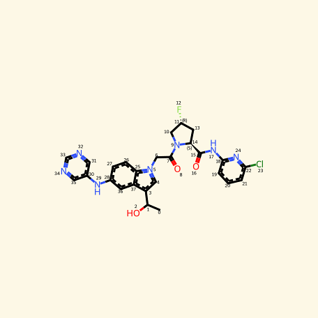 CC(O)c1cn(CC(=O)N2C[C@H](F)C[C@H]2C(=O)Nc2cccc(Cl)n2)c2ccc(Nc3cncnc3)cc12